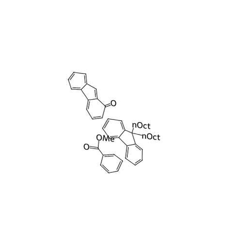 CCCCCCCCC1(CCCCCCCC)c2ccccc2-c2ccccc21.COC(=O)c1ccccc1.O=C1C=CC=C2C1=Cc1ccccc12